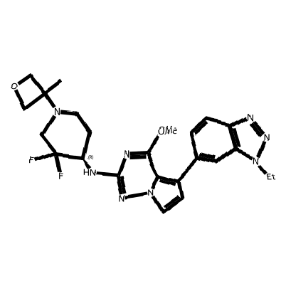 CCn1nnc2ccc(-c3ccn4nc(N[C@@H]5CCN(C6(C)COC6)CC5(F)F)nc(OC)c34)cc21